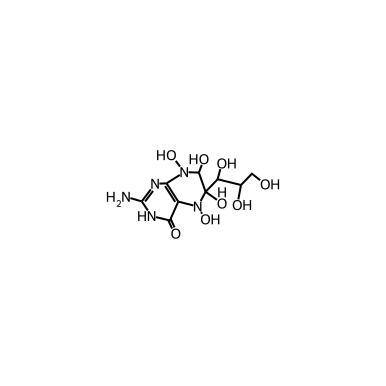 Nc1nc2c(c(=O)[nH]1)N(O)C(O)(C(O)C(O)CO)C(O)N2O